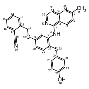 Cc1ccc2c(Nc3cc(OCc4ccccc4C#N)ccc3Sc3ccc(O)cc3)ncnc2n1